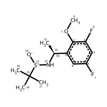 COc1c(F)cc(F)cc1[C@H](C)N[S+]([O-])C(C)(C)C